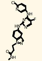 CNC(=O)CCn1ncc2cc(Nc3ncc(F)c(Nc4ccc(Cl)nc4)n3)ccc21